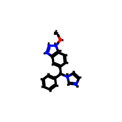 CC(C)On1nnc2cc(C(c3ccccc3)n3ccnc3)ccc21